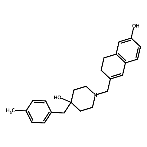 Cc1ccc(CC2(O)CCN(CC3=Cc4ccc(O)cc4CC3)CC2)cc1